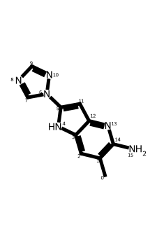 Cc1cc2[nH]c(-n3cncn3)cc2nc1N